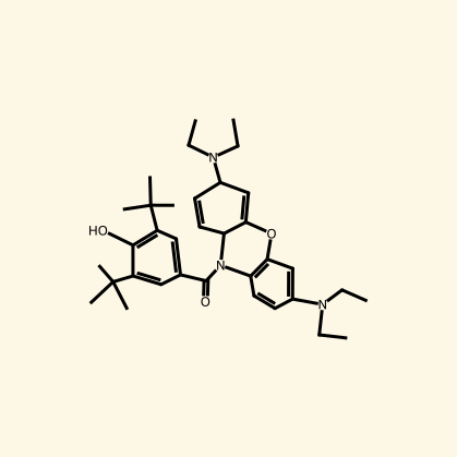 CCN(CC)c1ccc2c(c1)OC1=CC(N(CC)CC)C=CC1N2C(=O)c1cc(C(C)(C)C)c(O)c(C(C)(C)C)c1